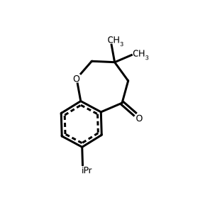 CC(C)c1ccc2c(c1)C(=O)CC(C)(C)CO2